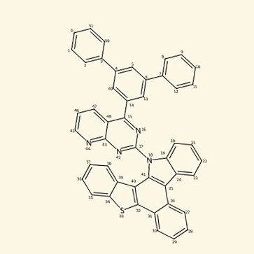 c1ccc(-c2cc(-c3ccccc3)cc(-c3nc(-n4c5ccccc5c5c6ccccc6c6sc7ccccc7c6c54)nc4ncccc34)c2)cc1